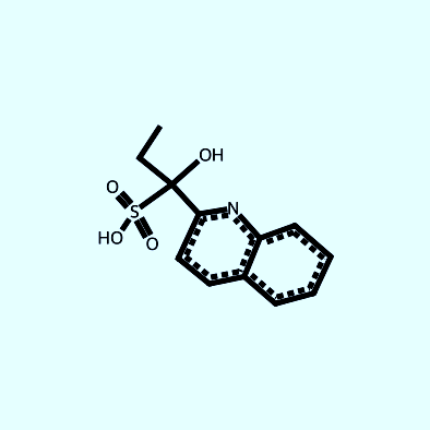 CCC(O)(c1ccc2ccccc2n1)S(=O)(=O)O